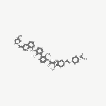 Cc1c(NC(=O)c2nc3c(n2C)CCN(CC[C@H]2CC[C@H](C(=O)O)CC2)C3)cccc1-c1cccc(Nc2nccc3cc(CN4CC[C@@H](O)C4)cnc23)c1C